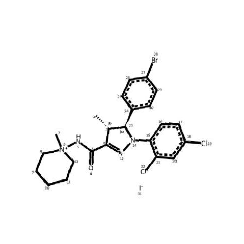 C[C@H]1C(C(=O)N[N+]2(C)CCCCC2)=NN(c2ccc(Cl)cc2Cl)[C@@H]1c1ccc(Br)cc1.[I-]